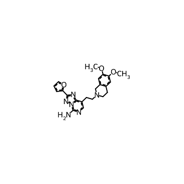 COc1cc2c(cc1OC)CN(CCc1cnc(N)n3nc(-c4ccco4)nc13)CC2